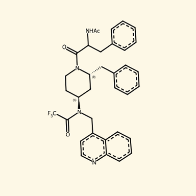 CC(=O)NC(Cc1ccccc1)C(=O)N1CC[C@H](N(Cc2ccnc3ccccc23)C(=O)C(F)(F)F)C[C@H]1Cc1ccccc1